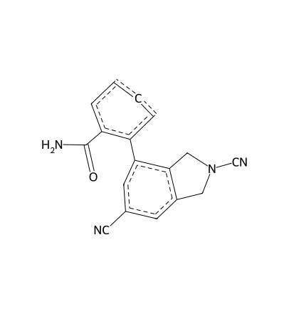 N#Cc1cc2c(c(-c3ccccc3C(N)=O)c1)CN(C#N)C2